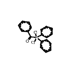 O=C(c1ccccc1)P(Cl)(Cl)(c1ccccc1)c1ccccc1